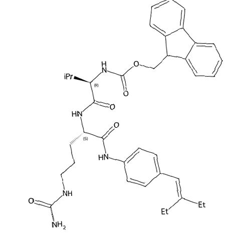 CCC(=Cc1ccc(NC(=O)[C@H](CCCNC(N)=O)NC(=O)[C@H](NC(=O)OCC2c3ccccc3-c3ccccc32)C(C)C)cc1)CC